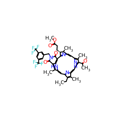 CCC1=C(C)c2cc3[nH]c(cc4nc(c5c6[nH]c(cc1n2)c(C)c6C(=O)N(Cc1cc(C(F)(F)F)cc(C(F)(F)F)c1)C5=O)[C@@H](CCC(=O)OC)C4C)c(C)c3C(C)=O